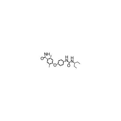 CCC(CC)NC(=O)Nc1ccc(Oc2ccc(C(N)=O)cc2C)cc1